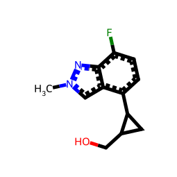 Cn1cc2c(C3CC3CO)ccc(F)c2n1